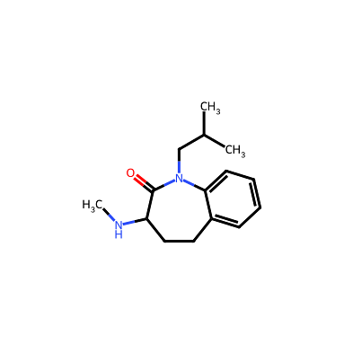 CNC1CCc2ccccc2N(CC(C)C)C1=O